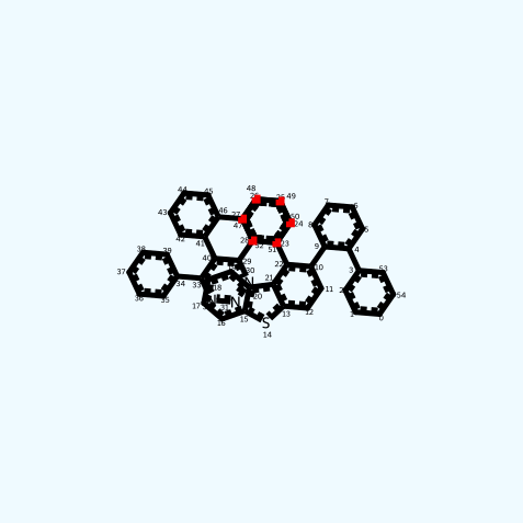 c1ccc(-c2ccccc2-c2ccc3sc4ccccc4c3c2-c2ccccc2-c2nnnc(-c3ccccc3)c2-c2ccccc2-c2ccccc2)cc1